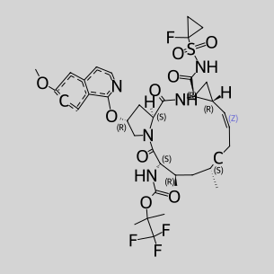 COc1ccc2c(O[C@@H]3C[C@H]4C(=O)N[C@]5(C(=O)NS(=O)(=O)C6(F)CC6)C[C@@H]5/C=C\CC[C@H](C)C[C@@H](C)[C@H](NC(=O)OC(C)(C)C(F)(F)F)C(=O)N4C3)nccc2c1